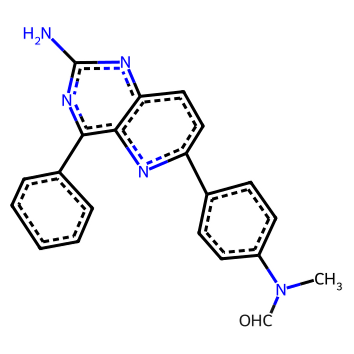 CN(C=O)c1ccc(-c2ccc3nc(N)nc(-c4ccccc4)c3n2)cc1